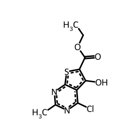 CCOC(=O)c1sc2nc(C)nc(Cl)c2c1O